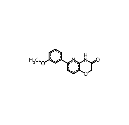 COc1cccc(-c2ccc3c(n2)NC(=O)CO3)c1